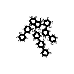 c1ccc(-c2ccc(-c3ccc(N(c4cccc(-c5ccccc5)c4)c4cc5c(oc6cccc(-c7cccc(-c8ccccc8)c7)c65)c5ccccc45)cc3)cc2)cc1